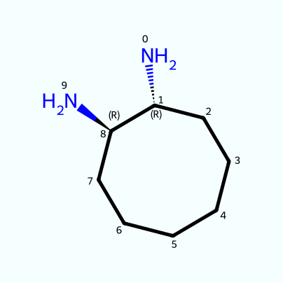 N[C@@H]1CCCCCC[C@H]1N